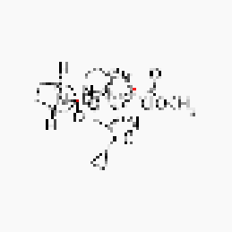 COC(=O)c1ccc2c(c1)CCN2C(=O)N1[C@@H]2CC[C@H]1CC(OCc1c(-c3c(Cl)cccc3Cl)noc1C1CC1)C2